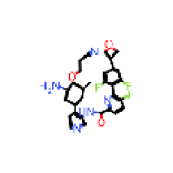 C[C@H]1C[C@@H](c2ccncc2NC(=O)c2ccc(F)c(-c3c(F)cc(C4COC4)cc3F)n2)C[C@@H](N)[C@H]1OCCC#N